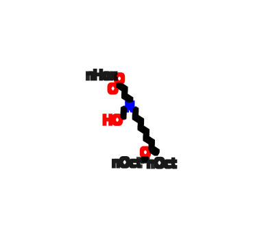 C=C(CCCCCCCN(CCO)CCCC(=O)OCCCCCC)OC(CCCCCCCC)CCCCCCCC